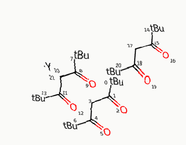 CC(C)(C)C(=O)CC(=O)C(C)(C)C.CC(C)(C)C(=O)CC(=O)C(C)(C)C.CC(C)(C)C(=O)CC(=O)C(C)(C)C.[Y]